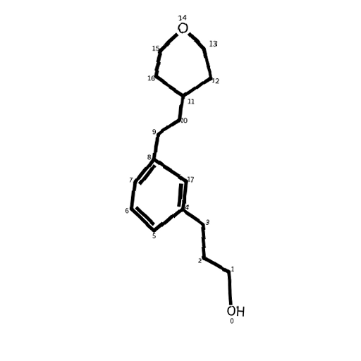 OCCCc1cccc(CCC2CCOCC2)c1